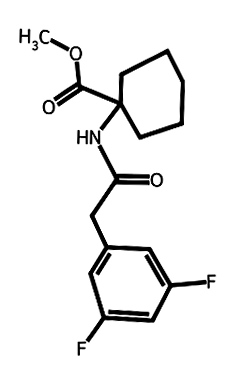 COC(=O)C1(NC(=O)Cc2cc(F)cc(F)c2)CCCCC1